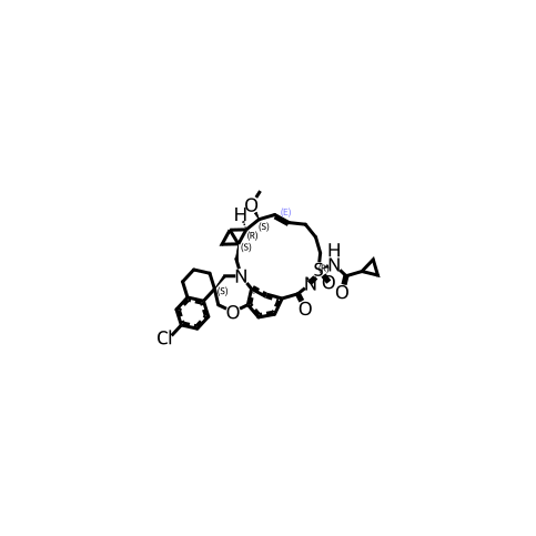 CO[C@H]1/C=C/CCC[S@@](=O)(NC(=O)C2CC2)=NC(=O)c2ccc3c(c2)N(C[C@@]2(CCCc4cc(Cl)ccc42)CO3)C[C@@]23CC2[C@@H]13